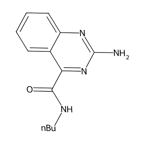 CCCCNC(=O)c1nc(N)nc2ccccc12